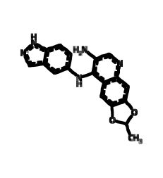 CC1Oc2cc3ncc(N)c(Nc4ccc5[nH]ncc5c4)c3cc2O1